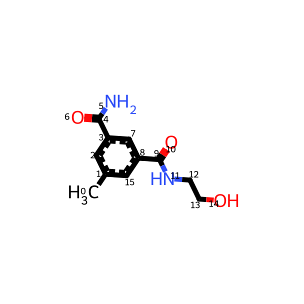 Cc1cc(C(N)=O)cc(C(=O)NCCO)c1